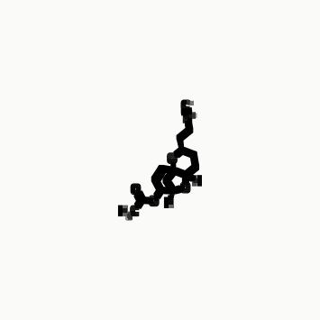 [C-]#[N+]CC[C@H]1CC[C@@H]2O[C@@H]3C[C@]2(C=CC3OC(C)=O)O1